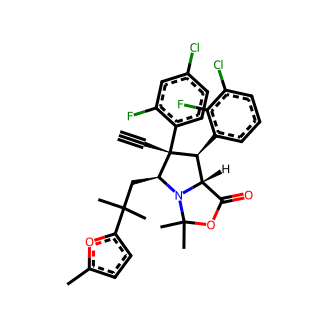 C#C[C@]1(c2ccc(Cl)cc2F)[C@H](CC(C)(C)c2ccc(C)o2)N2[C@@H](C(=O)OC2(C)C)[C@@H]1c1cccc(Cl)c1F